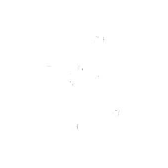 Cc1nc(-c2cc(Cl)cc(Cl)c2)c(C)n1CCC=O